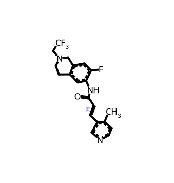 Cc1ccncc1/C=C/C(=O)Nc1cc2c(cc1F)CN(CC(F)(F)F)CC2